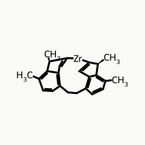 Cc1ccc2c3c1[C@H](C)[C](=C3)[Zr][C]1=Cc3c(ccc(C)c3[C@H]1C)CC2